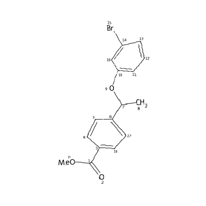 COC(=O)c1ccc(C(C)Oc2cccc(Br)c2)cc1